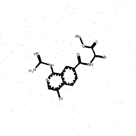 CCCCOC(=O)C(NC(=O)c1ccc2c(Cl)cnc(NC(=N)N)c2c1)C(C)C